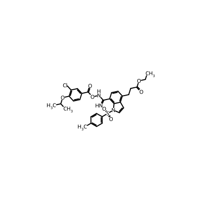 CCOC(=O)CCc1ccc(C(=N)NOC(=O)c2ccc(OC(C)C)c(Cl)c2)c2c1ccn2S(=O)(=O)c1ccc(C)cc1